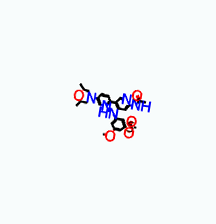 COc1cc(Nc2cc(NC(C)=O)ncc2-c2ccc(N3CC(C)OC(C)C3)cn2)cc(S(C)(=O)=O)c1